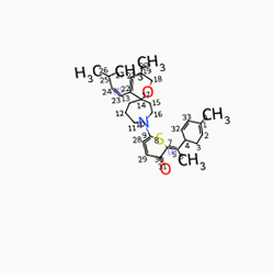 CC1=CCC(/C(C)=C2\SC(N3CCCC4(CC3)OCC(C)C=C4/C=C\C(C)C)=C=CC2=O)C=C1